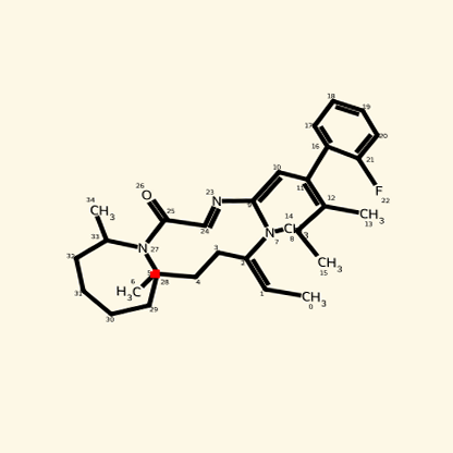 C/C=C(/CCCC)N(C)C(=C\C(=C(\C)CC)c1ccccc1F)/N=C/C(=O)N1CCCCCC1C